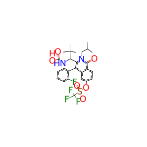 CC(C)Cn1c(C(NC(=O)O)C(C)(C)C)c(-c2ccccc2F)c2cc(OS(=O)(=O)C(F)(F)F)ccc2c1=O